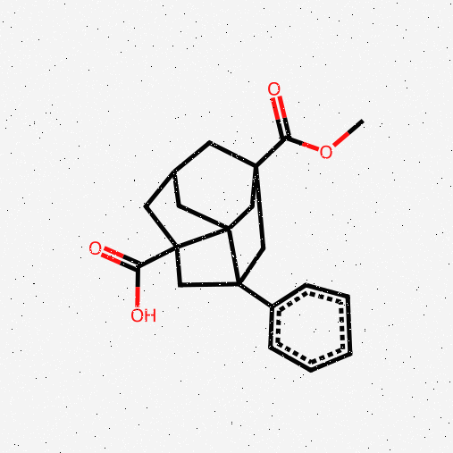 COC(=O)C12CC3CC4(C(=O)O)CC(c5ccccc5)(C1)C4(C3)C2